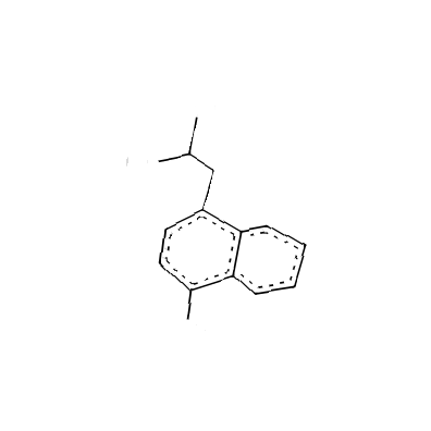 CC(C=O)Cc1ccc(C(C)(C)C)c2ccccc12